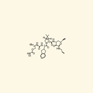 C#CCCC(NC(=O)[C@@H]1[C@@H]2[C@H](CN1C(=O)[C@@H](NC(=O)N[C@H](COC(=O)NCC)C(C)(C)C)C1Cc3ccccc3C1)C2(C)C)C(=O)C(=O)NCC=C